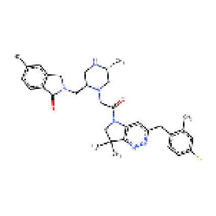 Cc1cc(F)ccc1Cc1cc2c(nn1)C(C)(C)CN2C(=O)CN1C[C@@H](C)NC[C@@H]1CN1Cc2cc(C#N)ccc2C1=O